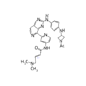 CC(=O)N1CC(Nc2ccc(Nc3ncc4ccnc(-c5cc(NC(=O)/C=C/CN(C)C)ccn5)c4n3)cc2)C1